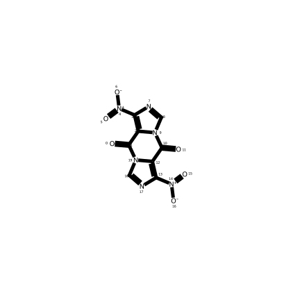 O=c1c2c([N+](=O)[O-])ncn2c(=O)c2c([N+](=O)[O-])ncn12